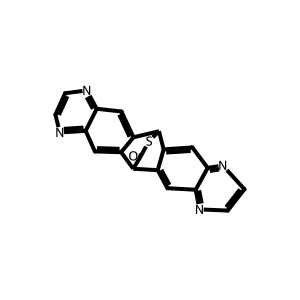 O=C1SC2c3cc4nccnc4cc3C1c1cc3nccnc3cc12